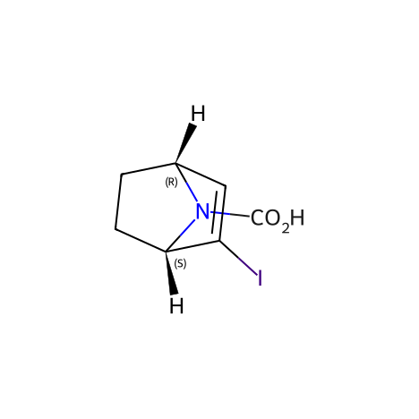 O=C(O)N1[C@H]2C=C(I)[C@@H]1CC2